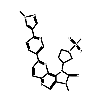 Cn1cc(-c2ccc(-c3ccc4ncc5c(c4n3)n(C3CCN(S(C)(=O)=O)C3)c(=O)n5C)cn2)cn1